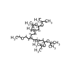 CCOCCN(CCPCC(OC(C)C)OC(C)C)CCPCC(OC(C)C)OC(C)C